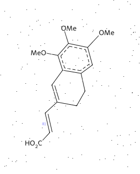 COc1cc2c(c(OC)c1OC)C=C(/C=C/C(=O)O)CC2